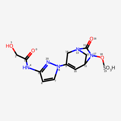 O=C(CO)Nc1ccn(C2=CC3CN(C2)C(=O)N3OS(=O)(=O)O)n1